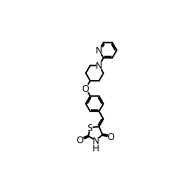 O=C1NC(=O)C(=Cc2ccc(OC3CCN(c4ccccn4)CC3)cc2)S1